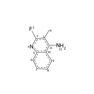 Cc1c(F)nc2ccccc2c1N